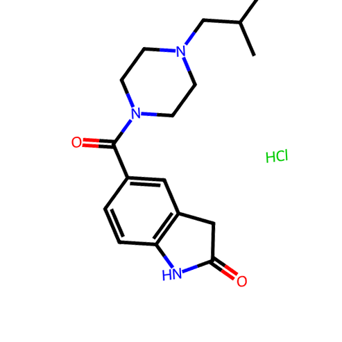 CC(C)CN1CCN(C(=O)c2ccc3c(c2)CC(=O)N3)CC1.Cl